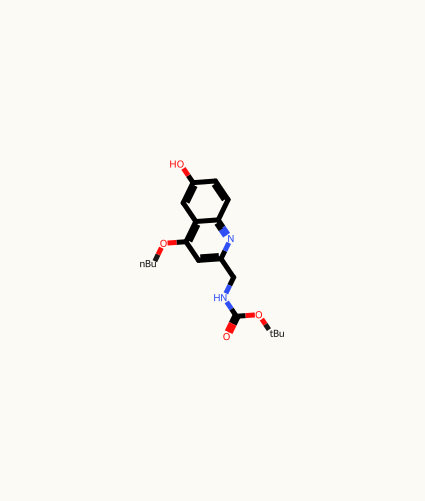 CCCCOc1cc(CNC(=O)OC(C)(C)C)nc2ccc(O)cc12